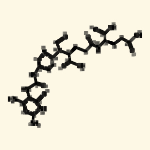 Nc1nc(N)c(NC(=O)Nc2ccc(N(C=O)[C@@H](CCC(=O)N[C@H](CCC(=O)O)C(=O)O)C(=O)O)nc2)c(=O)[nH]1